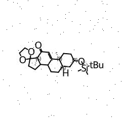 CC(C)(C)[Si](C)(C)O[C@@H]1CC[C@]2(C)C3=CC(=O)[C@@]4(C)C(CCC45OCCO5)C3CC[C@@H]2C1